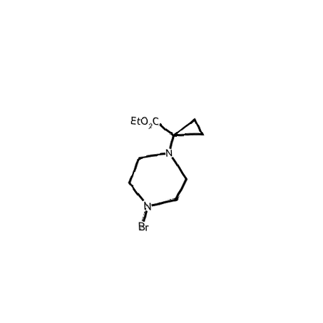 CCOC(=O)C1(N2CCN(Br)CC2)CC1